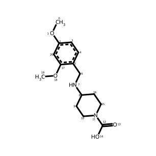 COc1ccc(CNC2CCN(C(=O)O)CC2)c(OC)c1